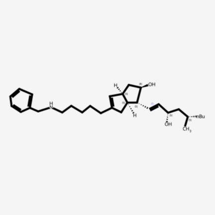 CCCC[C@H](C)C[C@H](O)/C=C/[C@@H]1[C@H]2CC(CCCCCNCc3ccccc3)=C[C@H]2C[C@H]1O